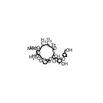 CCC1/C=C(\C)CC(C)CC(OC)C2OC(O)(C(=O)C(=O)N3CCCCC3C(=O)OC(C(C)=CC3CCC(O)C(Oc4ccc(CO)cc4)C3)C(C)CCC1=O)C(C)CC2OC